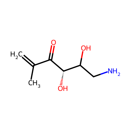 C=C(C)C(=O)[C@@H](O)C(O)CN